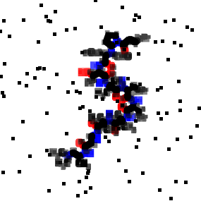 CCC/C=C/C(=O)N1CCC[C@H]1N(C=O)[C@@H](CCCCCCCC)C(=O)N[C@H](C(=O)NC(C)(C)C(=O)N[C@@H](CC(C)C)C(=O)N[C@@H](CC(C)C)C(=O)NC(C)(C)C(=O)NC(C)(C)C(=O)NCCC(=O)N[C@@H](C)CN(C)C)[C@H](O)C(C)C